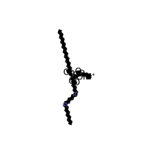 CCCCCCCC/C=C\CCCC/C=C\CCCC(=O)O[C@H](COC(=O)CCCCCCCCCCCCCCCCC)COP(=O)(O)OCC[N+](C)(C)C